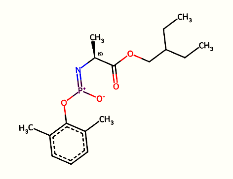 CCC(CC)COC(=O)[C@H](C)N=[P+]([O-])Oc1c(C)cccc1C